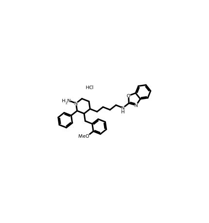 COc1ccccc1CC1C(CCCCNc2nc3ccccc3o2)CCN(N)C1c1ccccc1.Cl